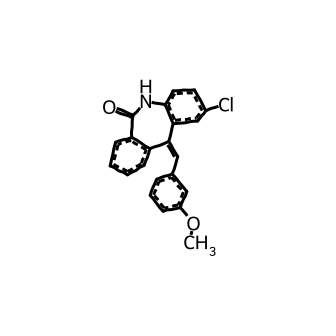 COc1cccc(C=C2c3cc(Cl)ccc3NC(=O)c3ccccc32)c1